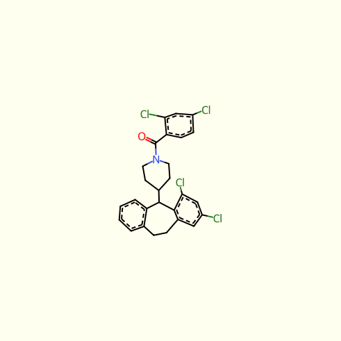 O=C(c1ccc(Cl)cc1Cl)N1CCC(C2c3ccccc3CCc3cc(Cl)cc(Cl)c32)CC1